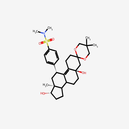 CN(C)S(=O)(=O)c1ccc([C@H]2C[C@@]3(C)C(CC[C@@H]3O)C3CC[C@@]4(O)CC5(CCC4=C32)OCC(C)(C)CO5)cc1